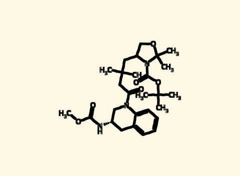 COC(=O)N[C@H]1Cc2ccccc2N(C(=O)CC(C)(C)CC2COC(C)(C)N2C(=O)OC(C)(C)C)C1